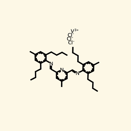 CCCCc1cc(C)cc(CCCC)c1N=Cc1cc(C)cc(C=Nc2c(CCCC)cc(C)cc2CCCC)n1.[Cl-].[Cl-].[Cl-].[V+3]